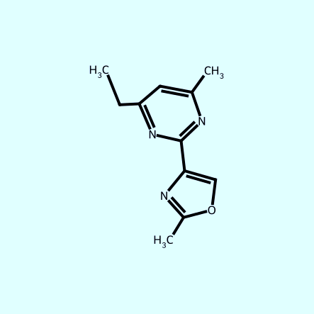 CCc1cc(C)nc(-c2coc(C)n2)n1